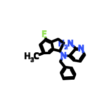 Cc1cc(F)c2c(c1)C(N(Cc1ccccc1)c1cccnc1N)CC2